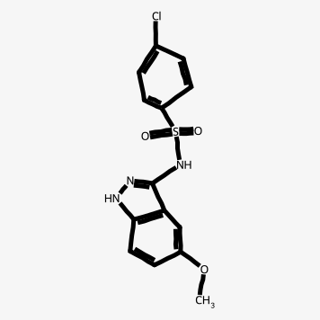 COc1ccc2[nH]nc(NS(=O)(=O)c3ccc(Cl)cc3)c2c1